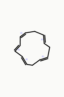 [C]1=C/C/C=C/C\C=C/C=C/C=C/C/1